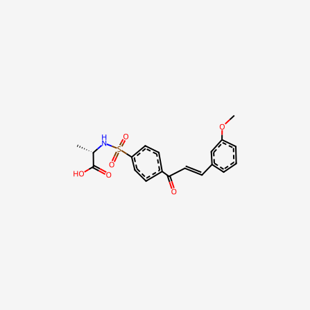 COc1cccc(/C=C/C(=O)c2ccc(S(=O)(=O)N[C@@H](C)C(=O)O)cc2)c1